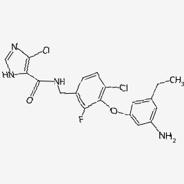 CCc1cc(N)cc(Oc2c(Cl)ccc(CNC(=O)c3[nH]cnc3Cl)c2F)c1